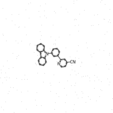 N#Cc1ccnc(-c2cccc(-n3c4ccccc4c4ccccc43)c2)c1